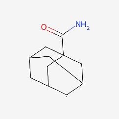 NC(=O)C12CC3[CH]C(CC(C3)C1)C2